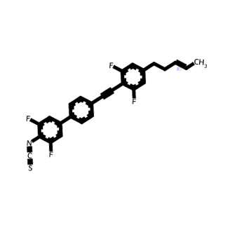 C/C=C/CCc1cc(F)c(C#Cc2ccc(-c3cc(F)c(N=C=S)c(F)c3)cc2)c(F)c1